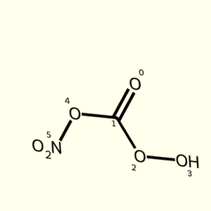 O=C(OO)O[N+](=O)[O-]